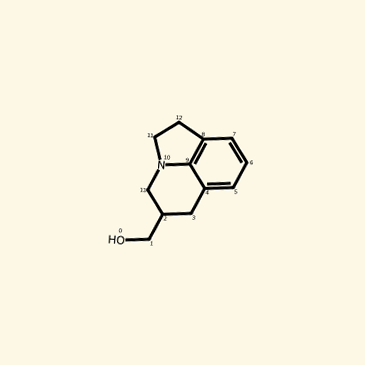 OCC1Cc2cccc3c2N(CC3)C1